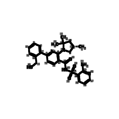 C[C@@H]1CN(c2nc(-c3ccccc3CO)ccc2C(=O)NS(=O)(=O)c2cccnc2N)C(C)(C)C1